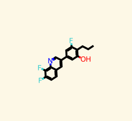 CCCc1c(O)cc(-c2cnc3c(F)c(F)ccc3c2)cc1F